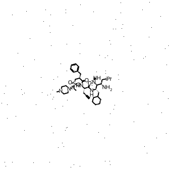 C#CC[C@H](NC(=O)[C@H](Cc1ccccc1)CS(=O)(=O)N(C)N1CCN(C)CC1)C(=O)N[C@@H](CC1CCCCC1)[C@@H](N=N)[C@@H](N)CC(C)C